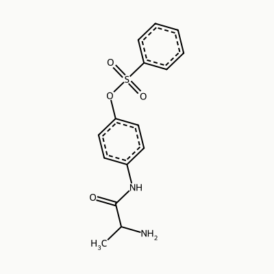 CC(N)C(=O)Nc1ccc(OS(=O)(=O)c2ccccc2)cc1